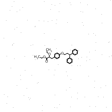 CCOC(=O)C(Cc1ccc(OCCC(c2ccccc2)c2ccccc2)cc1)OCC